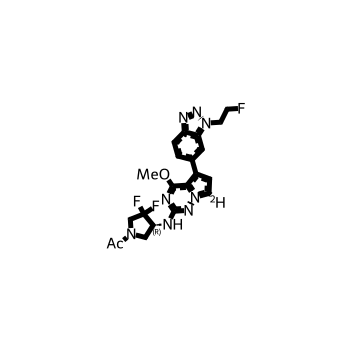 [2H]c1cc(-c2ccc3nnn(CCF)c3c2)c2c(OC)nc(N[C@@H]3CN(C(C)=O)CC3(F)F)nn12